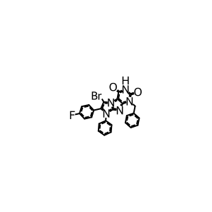 O=c1[nH]c(=O)n(Cc2ccccc2)c2nc3n(-c4ccccc4)c(-c4ccc(F)cc4)c(Br)n3c12